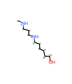 CNCCCNCCCCCCO